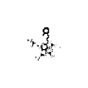 CC(=O)OC[C@H]1O[C@@H](SCCc2ccccc2I)[C@H](OC(C)=O)[C@@H](OC(C)=O)[C@H]1OC(C)=O